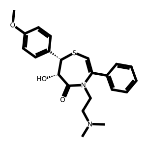 COc1ccc([C@@H]2SC=C(c3ccccc3)N(CCN(C)C)C(=O)[C@@H]2O)cc1